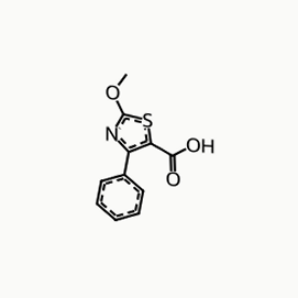 COc1nc(-c2ccccc2)c(C(=O)O)s1